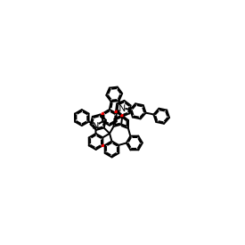 c1ccc(-c2ccc(-n3c4ccccc4c4cc(N(c5ccccc5)c5ccccc5C5(c6ccccc6)c6ccccc6-c6ccccc6-c6cccc5c6-c5ccccc5)ccc43)cc2)cc1